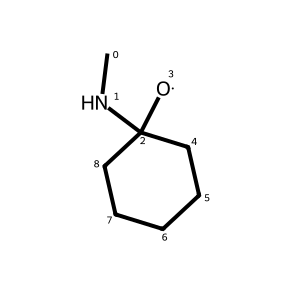 CNC1([O])CCCCC1